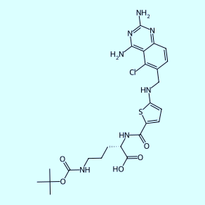 CC(C)(C)OC(=O)NCCC[C@H](NC(=O)c1ccc(NCc2ccc3nc(N)nc(N)c3c2Cl)s1)C(=O)O